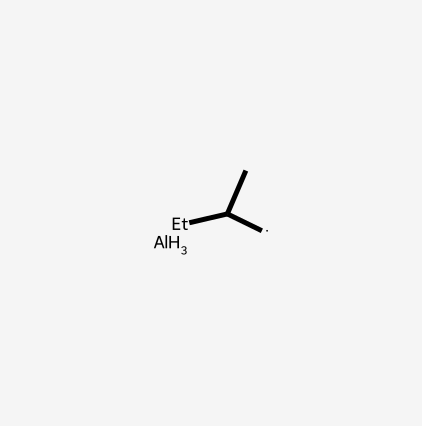 [AlH3].[CH2]C(C)CC